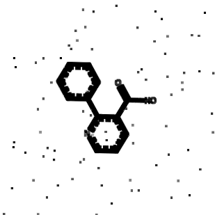 O=NC(=O)c1cccnc1-c1ccccc1